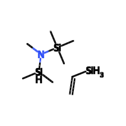 C=C[SiH3].CN([SiH](C)C)[Si](C)(C)C